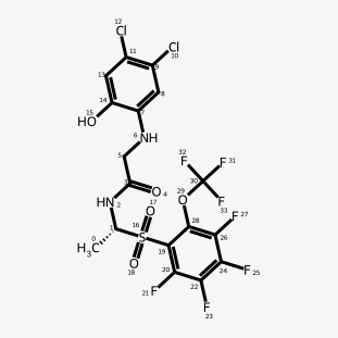 C[C@H](NC(=O)CNc1cc(Cl)c(Cl)cc1O)S(=O)(=O)c1c(F)c(F)c(F)c(F)c1OC(F)(F)F